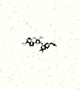 N#CCN1CCC2(CC1)CC(F)(F)CN2C[C@H]1O[C@@H](c2ccc3c(N)ncnn23)[C@H](O)[C@@H]1O